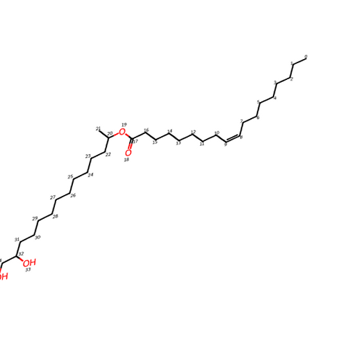 CCCCCCCC/C=C\CCCCCCCC(=O)OC(C)CCCCCCCCCCC(O)CO